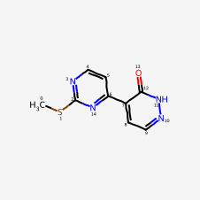 CSc1nccc(-c2ccn[nH]c2=O)n1